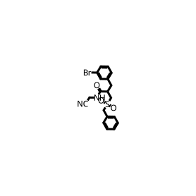 N#CCNC(=O)C(Cc1cccc(Br)c1)CS(=O)(=O)Cc1ccccc1